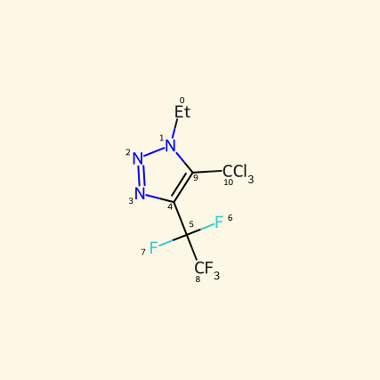 CCn1nnc(C(F)(F)C(F)(F)F)c1C(Cl)(Cl)Cl